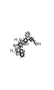 COc1cc(N2CCOCC2)c(-c2cnn(CCO)c2)cc1Nc1ncc(Br)c(Nc2cnc3ccccc3c2P(C)C)n1